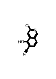 N#Cc1ccc2cnc(Cl)cc2c1O